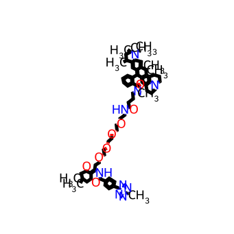 CCN1C2C=C3C(=C(c4ccccc4C(=O)N(C)CCCC(=O)NCCOCCOCCOCCOCCC(NCc4ccc(-c5nnc(C)nn5)cc4)=C4C(=O)CC(C)(C)CC4=O)c4cc5c6c(c4C3(C)C)CCCN6CCC5)C=C2C(C)CC1(C)C